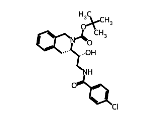 CC(C)(C)OC(=O)N1Cc2ccccc2C[C@H]1[C@H](O)CNC(=O)c1ccc(Cl)cc1